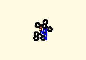 c1ccc2c(-c3nc(-n4c5ccccc5c5c6ccccc6c6c7ccccc7sc6c54)nc4ncccc34)cccc2c1